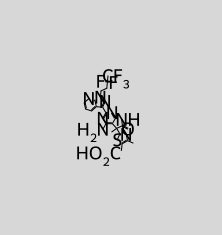 Cc1nc(C2(C)C(=O)Nc3nc(-c4nn(CCC(F)(F)C(F)(F)F)c5ncccc45)nc(N)c32)sc1CC(=O)O